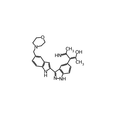 CC(=N)/C(=C(/C)O)c1ccc2[nH]nc(-c3cc4cc(CN5CCOCC5)ccc4[nH]3)c2c1